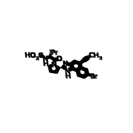 CC#Cc1cc2nc([C@@H]3CCCN3C(=O)[C@@H](NC(=O)O)C(C)C)[nH]c2c2ccc(Br)cc12